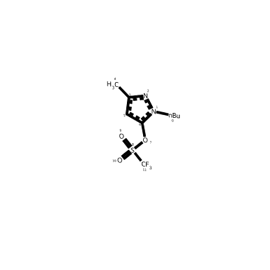 CCCCn1nc(C)cc1OS(=O)(=O)C(F)(F)F